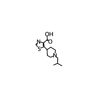 CC(C)CN1CCC(c2scnc2C(=O)O)CC1